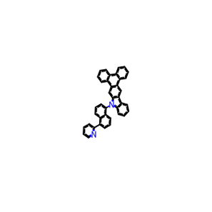 c1ccc(-c2cccc3c(-n4c5ccccc5c5cc6c7ccccc7c7ccccc7c6cc54)cccc23)nc1